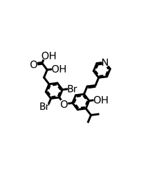 CC(C)c1cc(Oc2c(Br)cc(CC(O)C(=O)O)cc2Br)cc(C=Cc2ccncc2)c1O